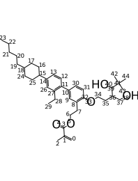 C=C(C)C(=O)OCCc1cc(-c2ccc(C3CCC(CCCCC)CC3)cc2CC)ccc1OCCC(CO)C(O)C(C)(C)C